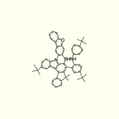 CC(C)(C)c1ccc(Nc2ccc(C(C)(C)C)cc2-c2c3c(c4c5cc(C(C)(C)C)ccc5n5c4c2Bc2cc4oc6ccccc6c4cc2-5)-c2ccccc2C3(C)C)cc1